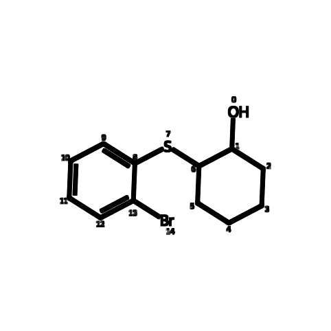 OC1CCCCC1Sc1ccccc1Br